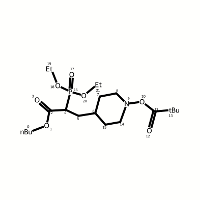 CCCCOC(=O)C(CC1CCN(OC(=O)C(C)(C)C)CC1)P(=O)(OCC)OCC